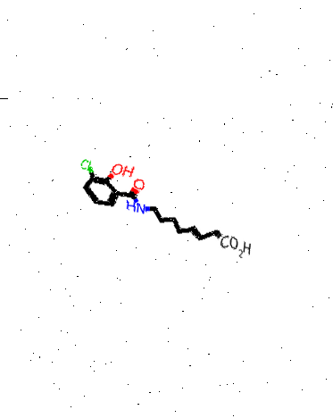 O=C(O)CCCCCCCNC(=O)c1cccc(Cl)c1O